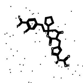 CN(C(=O)O)c1cc(CC2C(=O)CC(CCc3ccc(C(F)F)c(F)c3)(C3CCCC3)OC2=O)on1